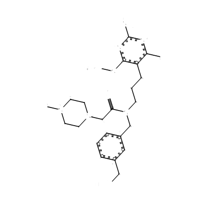 CCCCCNc1nc(N)nc(C)c1CCCN(Cc1cccc(CC(=O)O)c1)C(=O)CN1CCN(C)CC1